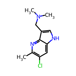 Cc1nc2c(CN(C)C)c[nH]c2cc1Cl